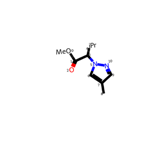 COC(=O)C(C(C)C)n1cc(C)cn1